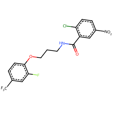 O=C(NCCCOc1ccc(C(F)(F)F)cc1F)c1cc([N+](=O)[O-])ccc1Cl